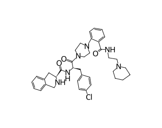 O=C(NCCN1CCCCC1)c1ccccc1N1CCN(C(=O)[C@@H](Cc2ccc(Cl)cc2)NC(=O)[C@@H]2Cc3ccccc3CN2)CC1